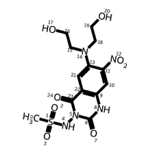 CS(=O)(=O)Nn1c(=O)[nH]c2cc([N+](=O)[O-])c(N(CCO)CCO)cc2c1=O